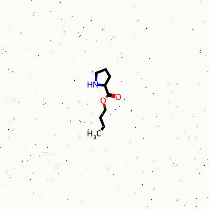 CCCCOC(=O)C1CCCN1